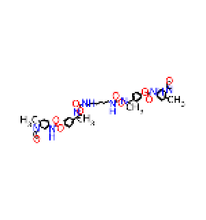 C/C(=N\OC(=O)NCCCCCCNC(=O)O/N=C(\C)c1ccc(OC(=O)Nc2ccc(C)c(N=C=O)c2)cc1)c1ccc(OC(=O)Nc2ccc(C)c(N=C=O)c2)cc1